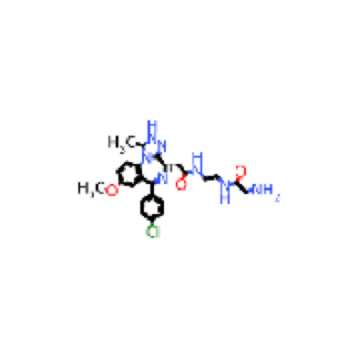 COc1ccc2c(c1)C(c1ccc(Cl)cc1)=N[C@@H](CC(=O)NCCNC(=O)CN)C1=NNC(C)N12